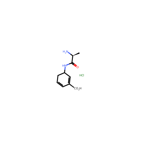 C[C@H](N)C(=O)NC1C=C(C(=O)O)C=CC1.Cl